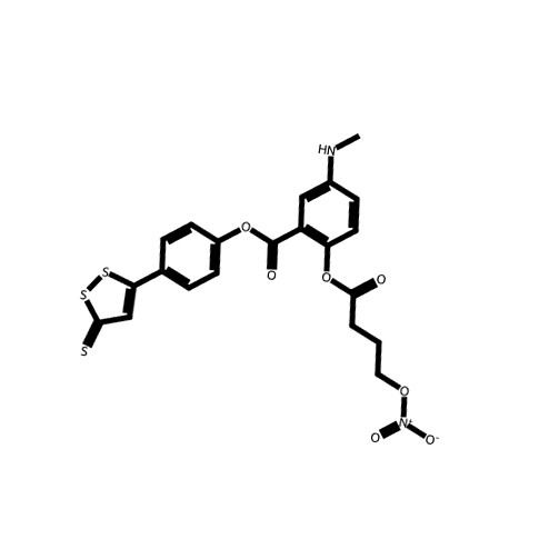 CNc1ccc(OC(=O)CCCO[N+](=O)[O-])c(C(=O)Oc2ccc(-c3cc(=S)ss3)cc2)c1